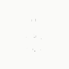 CCCSC[Si]12OCCN(CCO1)CCO2